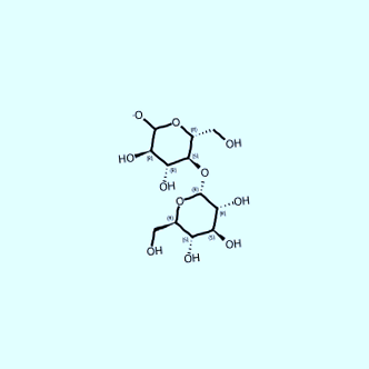 [O]C1O[C@H](CO)[C@@H](O[C@H]2O[C@H](CO)[C@@H](O)[C@H](O)[C@H]2O)[C@H](O)[C@H]1O